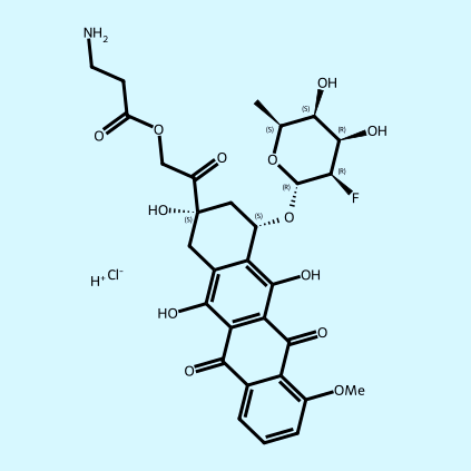 COc1cccc2c1C(=O)c1c(O)c3c(c(O)c1C2=O)C[C@@](O)(C(=O)COC(=O)CCN)C[C@@H]3O[C@@H]1O[C@@H](C)[C@@H](O)[C@@H](O)[C@H]1F.[Cl-].[H+]